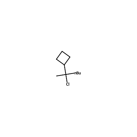 CCCCC(C)(Cl)C1CCC1